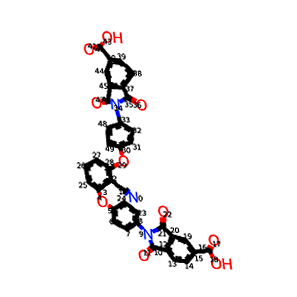 N#Cc1c(Oc2ccc(N3C(=O)c4ccc(C(=O)O)cc4C3=O)cc2)cccc1Oc1ccc(N2C(=O)c3ccc(C(=O)O)cc3C2=O)cc1